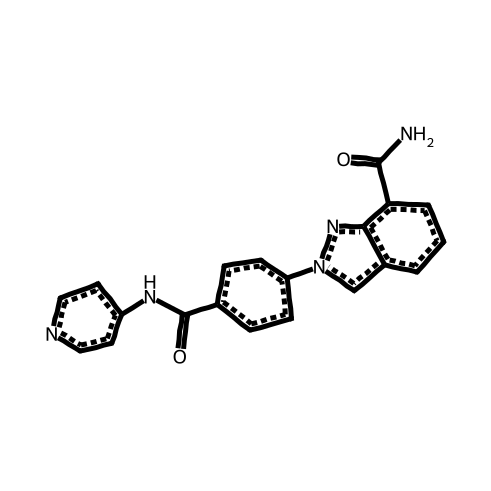 NC(=O)c1cccc2cn(-c3ccc(C(=O)Nc4ccncc4)cc3)nc12